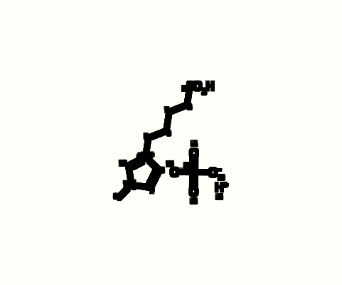 Cn1cc[n+](CCCCS(=O)(=O)O)c1.O=S(=O)([O-])[O-].[H+]